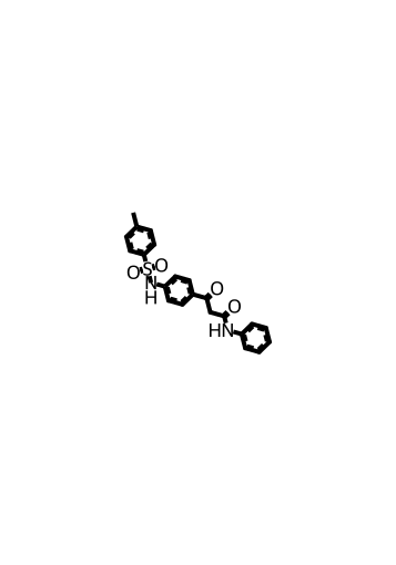 Cc1ccc(S(=O)(=O)Nc2ccc(C(=O)CC(=O)Nc3ccccc3)cc2)cc1